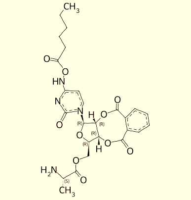 CCCCCC(=O)ONc1ccn([C@@H]2O[C@H](COC(=O)[C@H](C)N)[C@H]3OC(=O)c4ccccc4C(=O)O[C@H]32)c(=O)n1